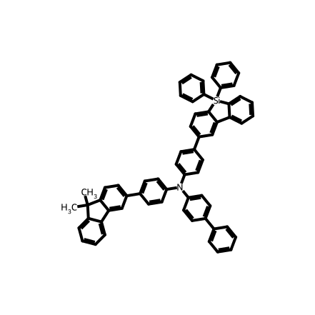 CC1(C)c2ccccc2-c2cc(-c3ccc(N(c4ccc(-c5ccccc5)cc4)c4ccc(-c5ccc6c(c5)-c5ccccc5[Si]6(c5ccccc5)c5ccccc5)cc4)cc3)ccc21